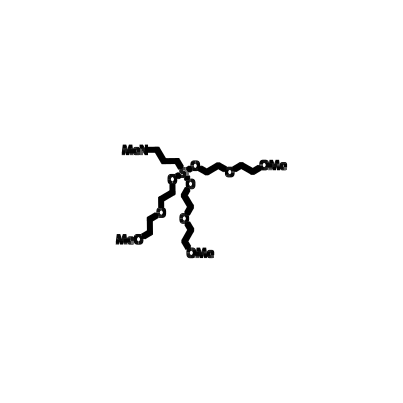 CNCCC[Si](OCCOCCOC)(OCCOCCOC)OCCOCCOC